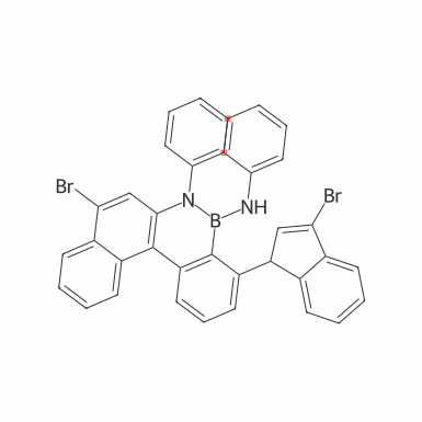 BrC1=CC(c2cccc3c2B(Nc2ccccc2)N(c2ccccc2)c2cc(Br)c4ccccc4c2-3)c2ccccc21